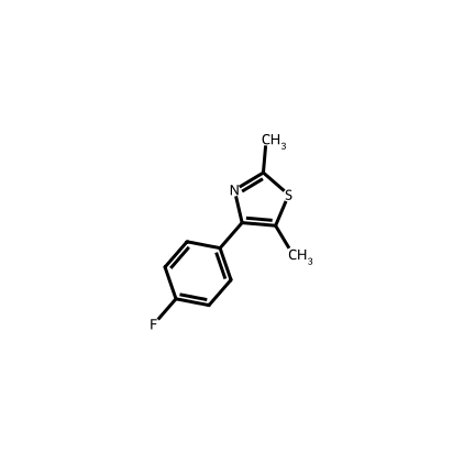 Cc1nc(-c2ccc(F)cc2)c(C)s1